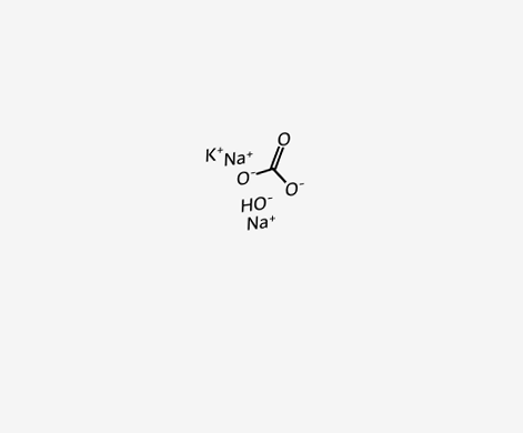 O=C([O-])[O-].[K+].[Na+].[Na+].[OH-]